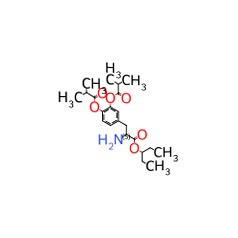 CCC(CC)OC(=O)[C@@H](N)Cc1ccc(OC(=O)C(C)C)c(OC(=O)C(C)C)c1